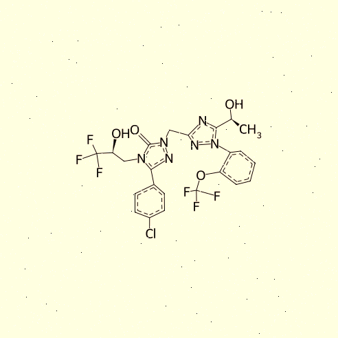 C[C@H](O)c1nc(Cn2nc(-c3ccc(Cl)cc3)n(C[C@H](O)C(F)(F)F)c2=O)nn1-c1ccccc1OC(F)(F)F